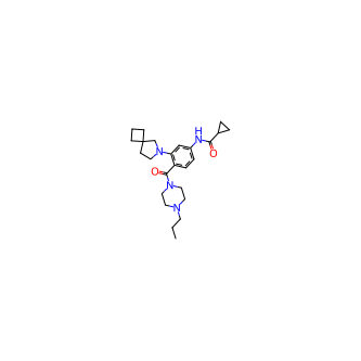 CCCN1CCN(C(=O)c2ccc(NC(=O)C3CC3)cc2N2CCC3(CCC3)C2)CC1